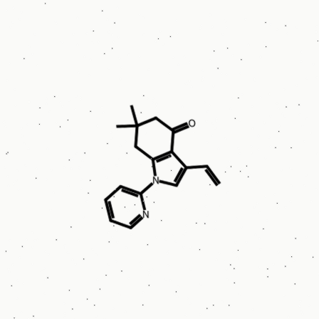 C=Cc1cn(-c2ccccn2)c2c1C(=O)CC(C)(C)C2